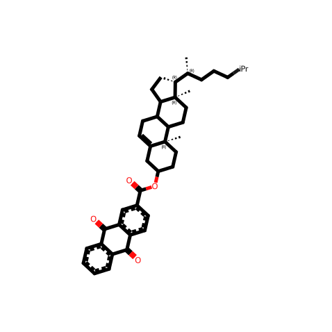 CC(C)CCC[C@@H](C)[C@H]1CCC2C3CC=C4CC(OC(=O)c5ccc6c(c5)C(=O)c5ccccc5C6=O)CC[C@]4(C)C3CC[C@@]21C